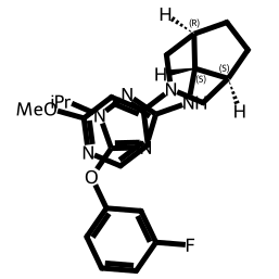 COc1cc(N2C[C@H]3CC[C@@H](C2)[C@@H]3Nc2nc(Oc3cccc(F)c3)n(C(C)C)n2)ccn1